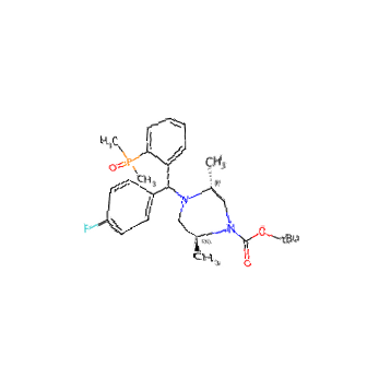 C[C@@H]1CN(C(=O)OC(C)(C)C)[C@@H](C)CN1C(c1ccc(F)cc1)c1ccccc1P(C)(C)=O